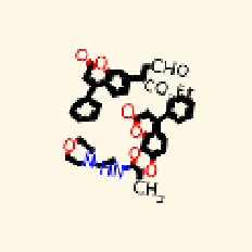 CC(Oc1ccc2c(-c3ccccc3)cc(=O)oc2c1)C(=O)NCCN1CCOCC1.CCOC(=O)C(CC=O)c1ccc2c(-c3ccccc3)cc(=O)oc2c1